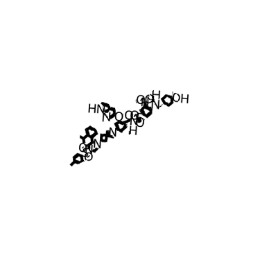 Cc1ccc(S(=O)(=O)N2CCN(C3CC4(C3)CN(c3ccc(C(=O)NS(=O)(=O)c5ccc(NC[C@H]6CC[C@](C)(O)CC6)c([N+](=O)[O-])c5)c(Oc5cnc6[nH]ccc6c5)c3)C4)C(c3ccccc3C(C)C)C2)cc1